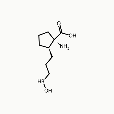 N[C@@]1(C(=O)O)CCC[C@@H]1CCCBO